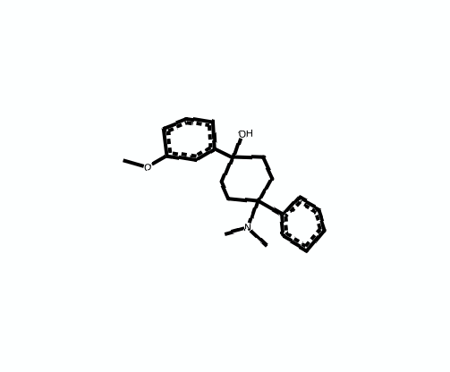 COc1cccc(C2(O)CCC(c3ccccc3)(N(C)C)CC2)c1